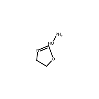 C1=NCCO1.OP